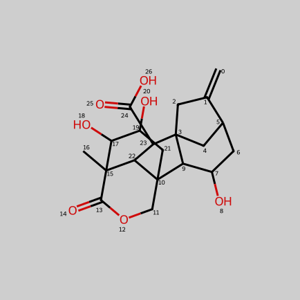 C=C1CC23CC1CC(O)C2C12COC(=O)C(C)(C(O)C(O)C1)C2C3C(=O)O